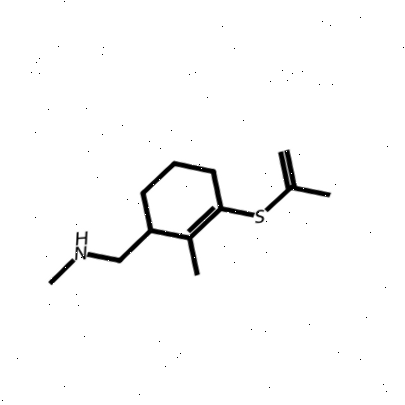 C=C(C)SC1=C(C)C(CNC)CCC1